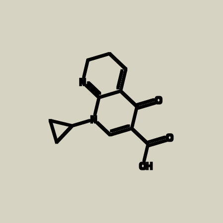 O=C(O)c1cn(C2CC2)c2c(c1=O)=CCCN=2